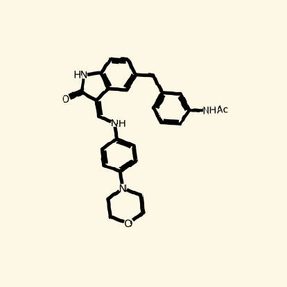 CC(=O)Nc1cccc(Cc2ccc3c(c2)/C(=C\Nc2ccc(N4CCOCC4)cc2)C(=O)N3)c1